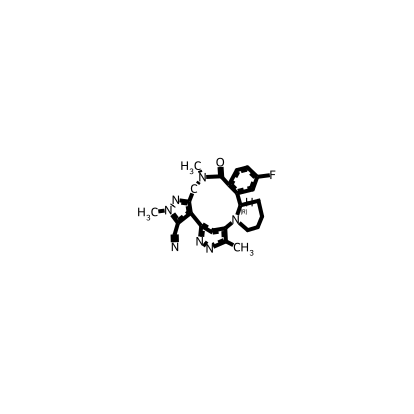 Cc1nnc2cc1N1CCCC[C@@H]1c1cc(F)ccc1C(=O)N(C)Cc1nn(C)c(C#N)c1-2